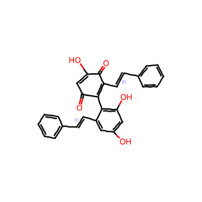 O=C1C=C(O)C(=O)C(/C=C/c2ccccc2)=C1c1c(O)cc(O)cc1/C=C/c1ccccc1